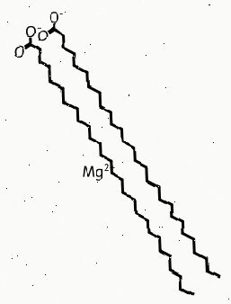 CCCCCCCCCCCCCCCCCCCCCCCCCCCC(=O)[O-].CCCCCCCCCCCCCCCCCCCCCCCCCCCC(=O)[O-].[Mg+2]